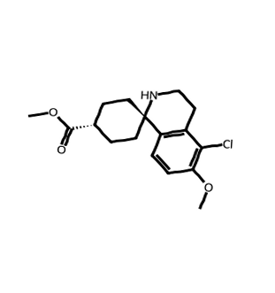 COc1ccc2c(c1Cl)CCN[C@]21CC[C@@H](C(=O)OC)CC1